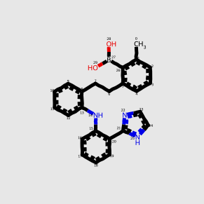 Cc1cccc(CCc2ccccc2Nc2ccccc2-c2ncc[nH]2)c1B(O)O